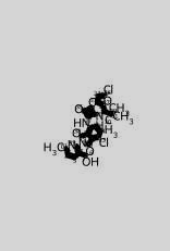 Cc1ccc(C(=O)O)c(N2Cc3c(Cl)ccc(Nc4c(N[C@@H](c5ccc(Cl)o5)C(C)(C)C)c(=O)c4=O)c3C2=O)n1